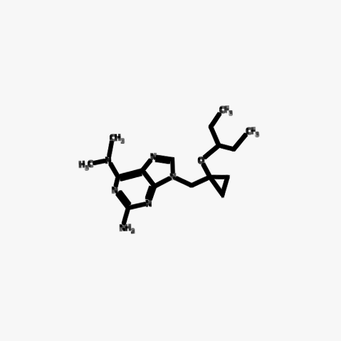 CN(C)c1nc(N)nc2c1ncn2CC1(O[C](CC(F)(F)F)CC(F)(F)F)CC1